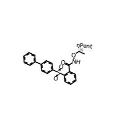 CCCCC[C@H](C)ONC(=O)c1ccccc1S(=O)(=O)c1ccc(-c2ccccc2)cc1